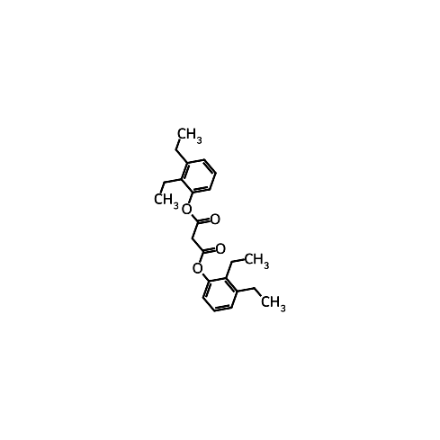 CCc1cccc(OC(=O)CC(=O)Oc2cccc(CC)c2CC)c1CC